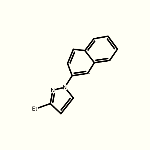 CCc1ccn(-c2[c]c3ccccc3cc2)n1